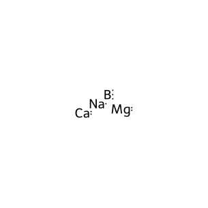 [B].[Ca].[Mg].[Na]